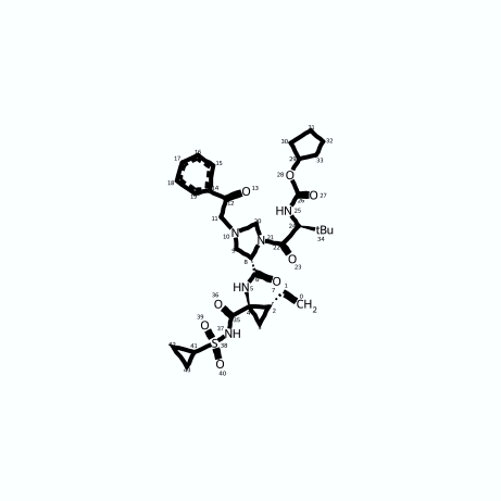 C=C[C@@H]1C[C@]1(NC(=O)[C@@H]1CN(CC(=O)c2ccccc2)CN1C(=O)[C@@H](NC(=O)OC1CCCC1)C(C)(C)C)C(=O)NS(=O)(=O)C1CC1